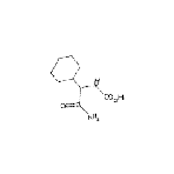 NC(=O)C(NC(=O)O)C1CCCCC1